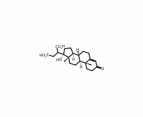 C[C@]12CCC(=O)C=C1CC[C@@H]1[C@@H]2CC[C@@]2(C)[C@H]1CC[C@]2(O)C(CC(=O)O)C(=O)O